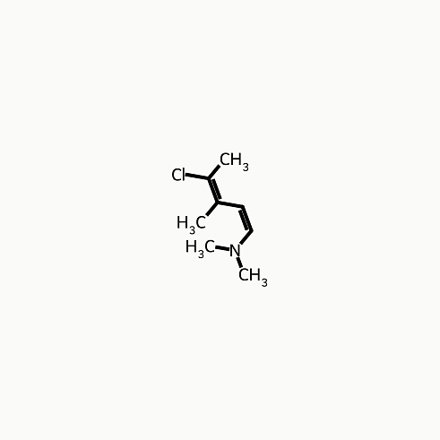 C/C(Cl)=C(C)\C=C/N(C)C